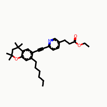 CCCCCCc1cc2c(cc1C#Cc1ccc(CCC(=O)OCC)cn1)C(C)(C)CC(C)(C)O2